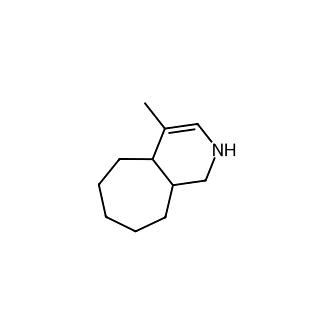 CC1=CNCC2CCCCCC12